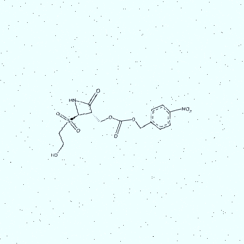 O=C(OCc1ccc([N+](=O)[O-])cc1)OC[C@H]1C(=O)N[C@@H]1S(=O)(=O)CCO